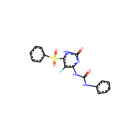 O=C(Nc1ccccc1)Nc1nc(=O)[nH]c(S(=O)(=O)c2ccccc2)c1F